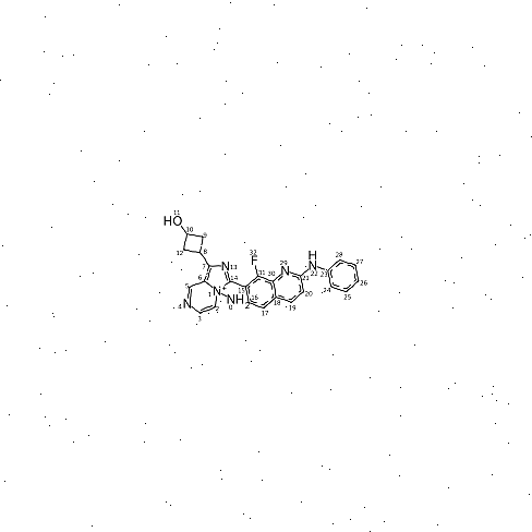 N[N+]12C=CN=CC1=C(C1CC(O)C1)N=C2c1ccc2ccc(Nc3ccccc3)nc2c1F